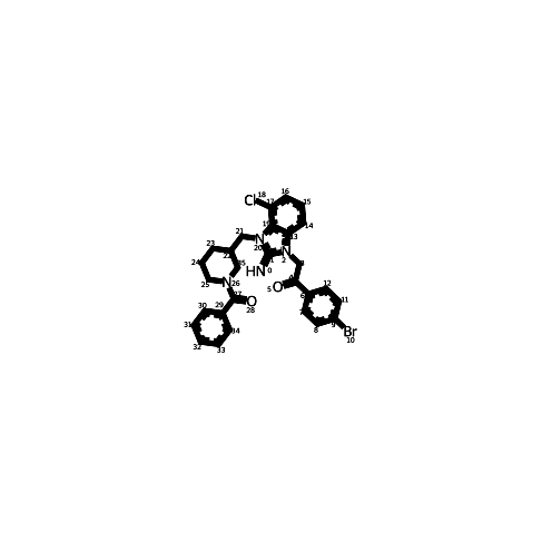 N=c1n(CC(=O)c2ccc(Br)cc2)c2cccc(Cl)c2n1CC1CCCN(C(=O)c2ccccc2)C1